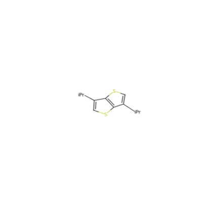 CC(C)c1csc2c(C(C)C)csc12